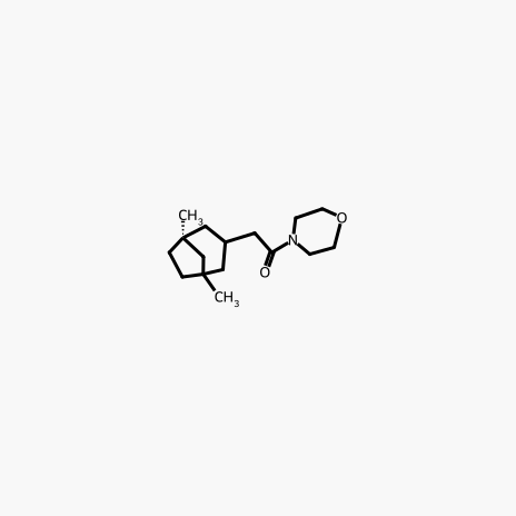 CC12CC[C@@](C)(CC(CC(=O)N3CCOCC3)C1)C2